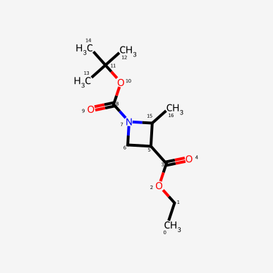 CCOC(=O)C1CN(C(=O)OC(C)(C)C)C1C